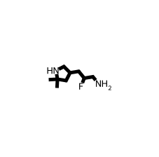 CC1(C)CC(CC(F)CN)CN1